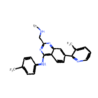 CCNCc1nc(Nc2ccc(C(F)(F)F)cc2)c2ccc(-c3ncccc3C(F)(F)F)cc2n1